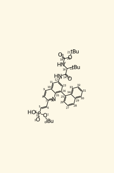 CCC(C)OP(=O)(O)C=Cc1ccc2cc(NC(=O)C(NC(=O)OC(C)(C)C)C(C)(C)C)cc(-c3cccc4ccccc34)c2n1